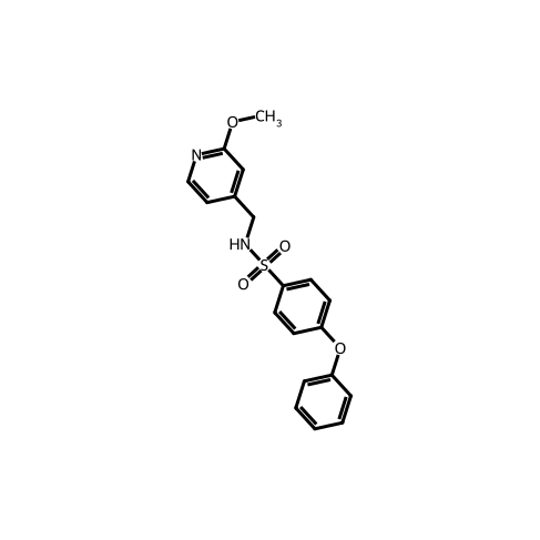 COc1cc(CNS(=O)(=O)c2ccc(Oc3ccccc3)cc2)ccn1